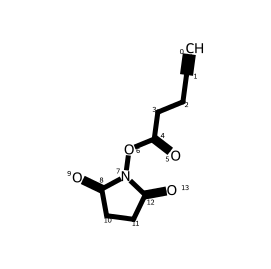 C#CCCC(=O)ON1C(=O)CCC1=O